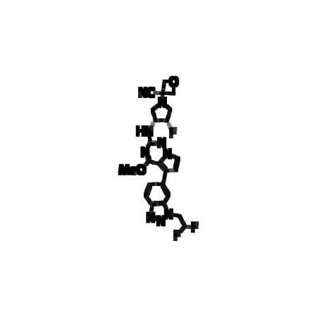 COc1nc(N[C@@H]2CN(C3(C#N)COC3)C[C@@H]2F)nn2ccc(-c3ccc4nnn(CC(F)F)c4c3)c12